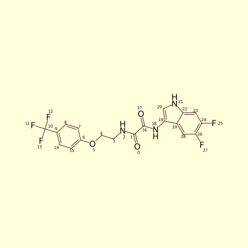 O=C(NCCOc1ccc(C(F)(F)F)cc1)C(=O)Nc1c[nH]c2cc(F)c(F)cc12